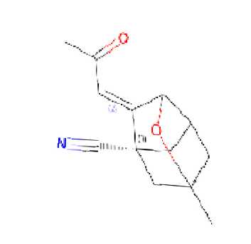 CC(=O)/C=C1\C2OC3(C)CC2C[C@@]1(C#N)C3